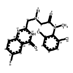 CCN(CC(=O)N(C)c1c(Cl)cccc1Cl)Cc1nc2ccc(F)cc2c(=O)[nH]1